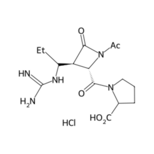 CCC(NC(=N)N)[C@H]1C(=O)N(C(C)=O)[C@@H]1C(=O)N1CCCC1C(=O)O.Cl